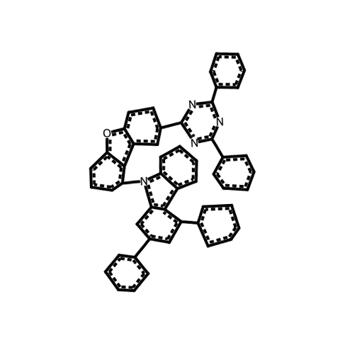 c1ccc(-c2cc(-c3ccccc3)c3c4ccccc4n(-c4cccc5oc6ccc(-c7nc(-c8ccccc8)nc(-c8ccccc8)n7)cc6c45)c3c2)cc1